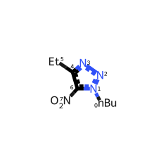 CCCCn1nnc(CC)c1[N+](=O)[O-]